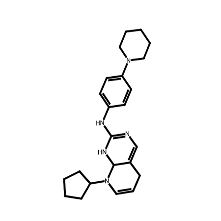 C1=CN(C2CCCC2)C2NC(Nc3ccc(N4CCCCC4)cc3)=NC=C2C1